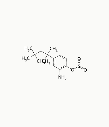 CC(C)(C)CC(C)(C)c1ccc(O[SH](=O)=O)c(N)c1